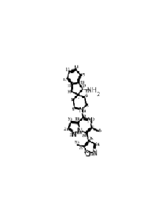 Cc1nc(N2CCC3(CC2)Cc2ccccc2[C@H]3N)c2ccnn2c1-c1cnoc1C